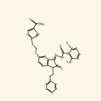 COC(=O)c1ccc(CCSc2ccc3c(c2)C(=NNC(=O)c2c(N)cccc2F)C(=O)N3CCc2ccccc2)cc1